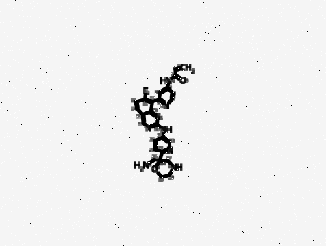 C=CC(=O)Nc1ccnc(-c2c(F)ccc3cnc(Nc4ccc([C@]5(CN)CNCCO5)nc4)nc23)c1